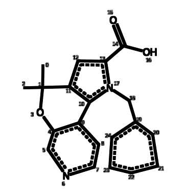 CC1(C)Oc2cnccc2-c2c1cc(C(=O)O)n2Cc1ccccc1